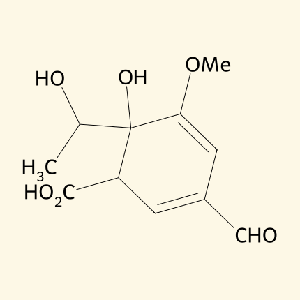 COC1=CC(C=O)=CC(C(=O)O)C1(O)C(C)O